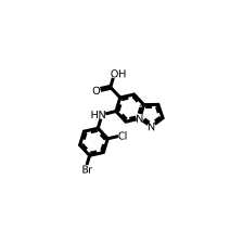 O=C(O)c1cc2ccnn2cc1Nc1ccc(Br)cc1Cl